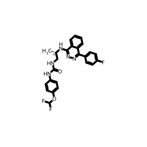 C[C@@H](CNC(=O)Nc1ccc(OC(F)F)cc1)Nc1nnc(-c2ccc(F)cc2)c2ccccc12